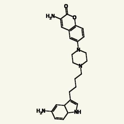 NC1=CC2C(CCCCN3CCN(c4ccc5oc(=O)c(N)cc5c4)CC3)=CNC2C=C1